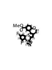 COC(=O)c1ccc2c(c1)-c1sc(-c3nncn3-c3ccc(F)cc3F)cc1CCO2